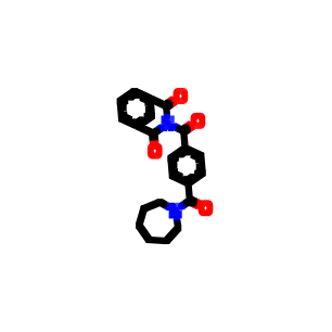 O=C(c1ccc(C(=O)N2C(=O)c3cccc(c3)C2=O)cc1)N1CCCCCC1